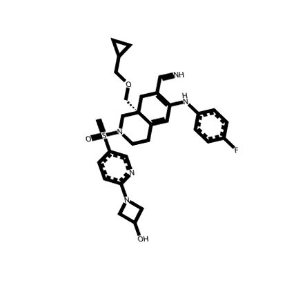 C=S(=O)(c1ccc(N2CC(O)C2)nc1)N1CCC2=CC(Nc3ccc(F)cc3)=C(C=N)C[C@]2(COCC2CC2)C1